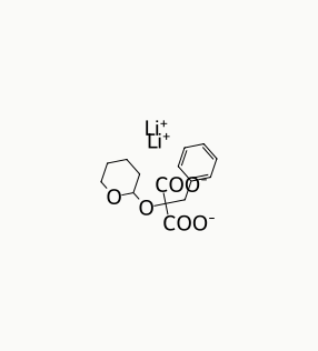 O=C([O-])C(Cc1ccccc1)(OC1CCCCO1)C(=O)[O-].[Li+].[Li+]